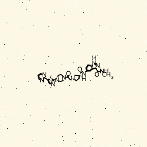 CNC(=O)c1n[nH]c2ccc(NC(=O)[C@@H]3CCN(CC(=O)N4CCN(c5ncc(-c6ncccn6)s5)CC4)C3)cc12